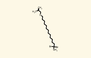 C=C(C)COCCCCCCCCCCCCCC([SiH3])(Br)Br